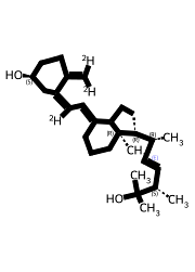 [2H]C([2H])=C1CC[C@H](O)CC1=C([2H])C=C1CCC[C@@]2(C)C1CC[C@@H]2[C@H](C)/C=C/[C@H](C)C(C)(C)O